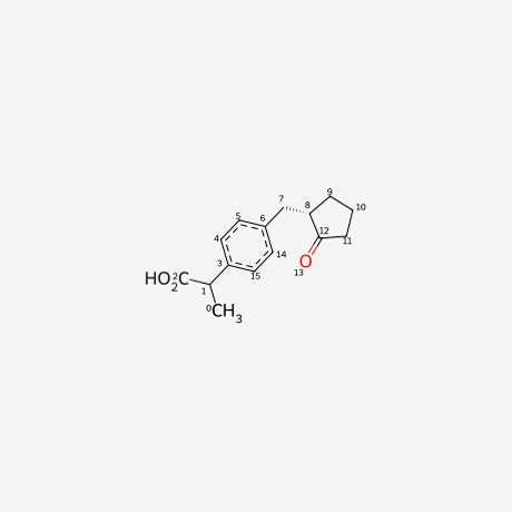 CC(C(=O)O)c1ccc(C[C@@H]2CCCC2=O)cc1